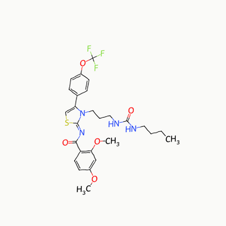 CCCCNC(=O)NCCCn1c(-c2ccc(OC(F)(F)F)cc2)cs/c1=N\C(=O)c1ccc(OC)cc1OC